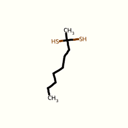 CCCCCCCC(C)(S)S